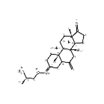 C=C1C[C@@H]2[C@H](CC[C@]3(C)C(=O)CC[C@@H]23)[C@@]2(C)CCC(=NOC[C@@H](C)N)CC12